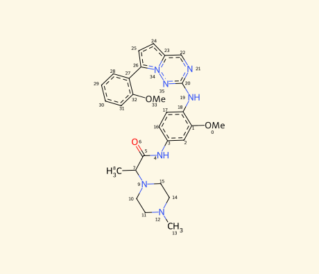 COc1cc(NC(=O)C(C)N2CCN(C)CC2)ccc1Nc1ncc2ccc(-c3ccccc3OC)n2n1